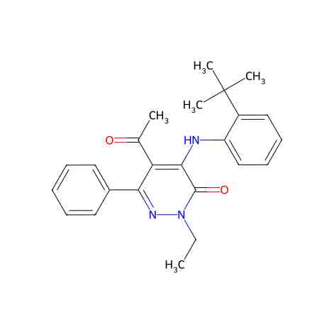 CCn1nc(-c2ccccc2)c(C(C)=O)c(Nc2ccccc2C(C)(C)C)c1=O